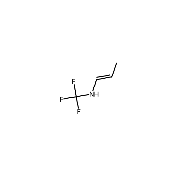 CC=CNC(F)(F)F